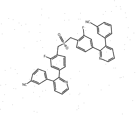 N#Cc1cccc(-c2cccnc2-c2ccc(CS(=O)(=O)Cc3ccc(-c4ncccc4-c4cccc(C#N)c4)cc3F)c(F)c2)c1